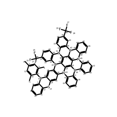 Cc1cc(C)c(B2c3ccccc3Sc3cc4c(cc32)B2c3cc(C(F)(F)F)ccc3N3c5ccc(C(F)(F)F)cc5B5c6ccccc6N6c7ccccc7B7c8ccccc8N4c4c7c6c5c3c42)c(C)c1